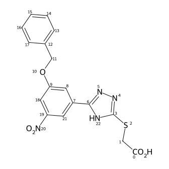 O=C(O)CSc1nnc(-c2cc(OCc3ccccc3)cc([N+](=O)[O-])c2)[nH]1